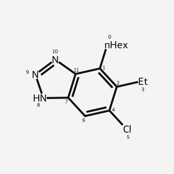 CCCCCCc1c(CC)c(Cl)cc2[nH]nnc12